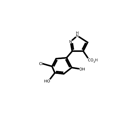 O=C(O)c1c[nH]nc1-c1cc(Cl)c(O)cc1O